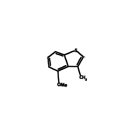 COc1cccc2s[c]c(C)c12